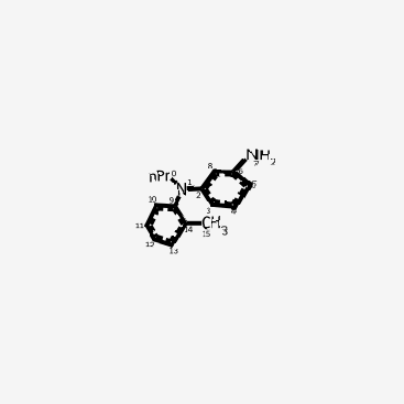 CCCN(c1cccc(N)c1)c1ccccc1C